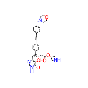 O=C(CC[C@H](Cc1nc[nH]c(=O)c1O)c1ccc(C#Cc2ccc(CN3CCOCC3)cc2)cc1)OC1CNC1